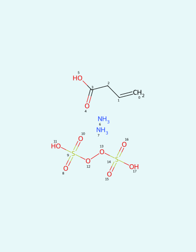 C=CCC(=O)O.N.N.O=S(=O)(O)OOS(=O)(=O)O